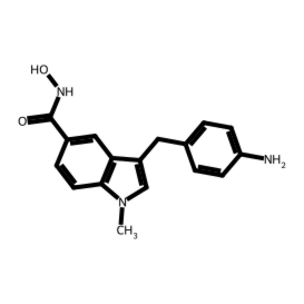 Cn1cc(Cc2ccc(N)cc2)c2cc(C(=O)NO)ccc21